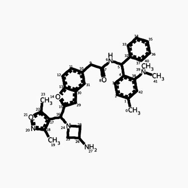 Cc1ccc(C(NC(=O)Cc2ccc3oc(C(c4c(C)noc4C)N4CC(N)C4)cc3c2)c2ccccc2)c(N(C)C)c1